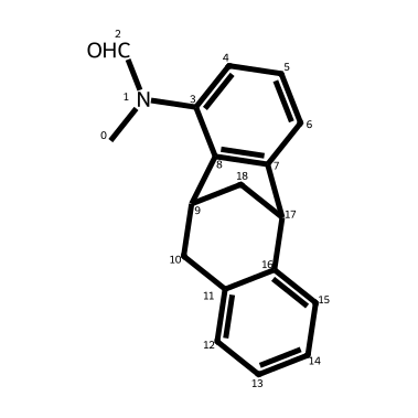 CN(C=O)c1cccc2c1C1Cc3ccccc3C2C1